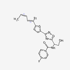 C/C=C\C=C(/CC)c1ccc(-c2noc(C(CO)NC(=O)c3ccc(F)cc3)n2)s1